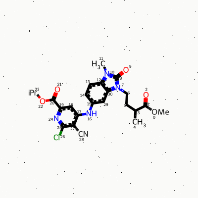 COC(=O)C(C)CCn1c(=O)n(C)c2ccc(Nc3cc(C(=O)OC(C)C)nc(Cl)c3C#N)cc21